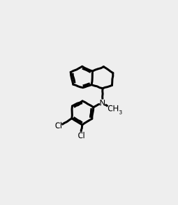 CN(c1ccc(Cl)c(Cl)c1)C1CCCc2ccccc21